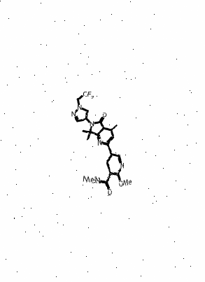 CNC(=O)C1CC(C2=CC(C)C3C(=O)N(C4C=NN(CC(F)(F)F)C4)C(C)(C)C3=N2)C=NC1OC